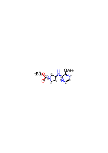 COc1nccnc1N[C@H]1CCN(C(=O)OC(C)(C)C)C1